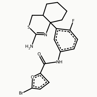 NC1=NC2(c3cc(NC(=O)c4ccc(Br)o4)ccc3F)CCCCC2CS1